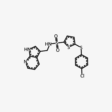 O=S(=O)(NCc1c[nH]c2ncccc12)c1ccc(Sc2ccc(Cl)cc2)s1